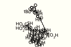 CC(C)(C)C(=O)CN1C(=O)[C@H](NC(=O)Nc2cccc(C(=O)NCCCCCCCC(=O)N[C@H](CCC(=O)O)C(=O)N[C@H](CCC(=O)NC[C@@H](O)[C@H](O)[C@@H](O)[C@H](O)CO)C(=O)N[C@H](CCC(=O)O)C(=O)N[C@H](CCC(=O)NC[C@@H](O)[C@H](O)[C@@H](O)[C@H](O)CO)C(=O)NC[C@H](N)C(=O)N[C@@H](CC(=O)O)C(=O)N[C@@H](CS)C(=O)O)c2)CN(C2CCCCC2)c2ccccc21